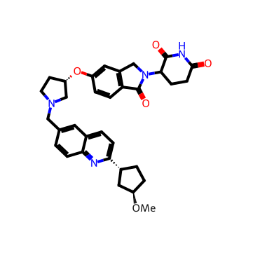 CO[C@@H]1CC[C@@H](c2ccc3cc(CN4CC[C@H](Oc5ccc6c(c5)CN(C5CCC(=O)NC5=O)C6=O)C4)ccc3n2)C1